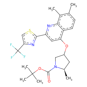 Cc1ccc2c(OC3C[C@@H](C)N(C(=O)OC(C)(C)C)C3)cc(-c3nc(C(F)(F)F)cs3)nc2c1C